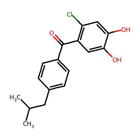 CC(C)Cc1ccc(C(=O)c2cc(O)c(O)cc2Cl)cc1